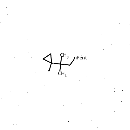 CCCCCCC(C)(C)C1(F)CC1